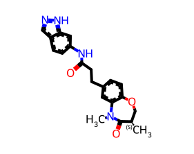 C[C@H]1COc2ccc(CCC(=O)Nc3ccc4cn[nH]c4c3)cc2N(C)C1=O